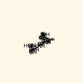 C=C(NCCC(CCNC(=O)COCC(=O)NCc1c(C)nc(CCCC)n1Cc1ccc(-c2ccccc2-c2nn[nH]n2)cc1)CCNC(C)(C)/C(C)=N\O)/C(C)=N\O